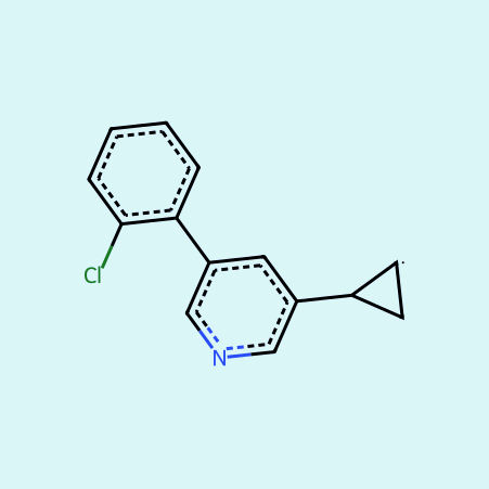 Clc1ccccc1-c1cncc(C2[CH]C2)c1